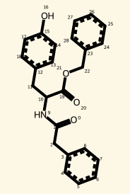 O=C(Cc1ccccc1)NC(Cc1ccc(O)cc1)C(=O)OCc1ccccc1